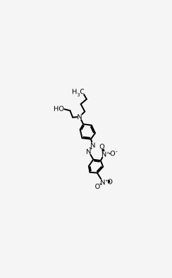 CCCCN(CCO)c1ccc(N=Nc2ccc([N+](=O)[O-])cc2[N+](=O)[O-])cc1